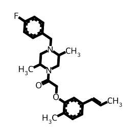 CC=Cc1ccc(C)c(OCC(=O)N2CC(C)N(Cc3ccc(F)cc3)CC2C)c1